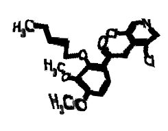 CC/C=C/COc1c(C(=O)Cc2c(Cl)cncc2Cl)ccc(OC)c1OC